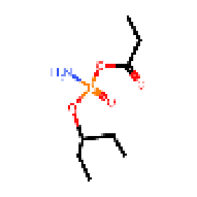 CCC(=O)OP(N)(=O)OC(CC)CC